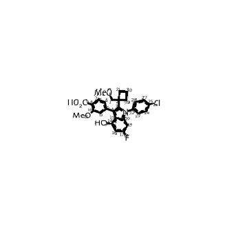 COCC1(c2c(-c3ccc(C(=O)O)c(OC)c3)c3c(O)cc(F)cc3n2-c2ccc(Cl)cc2)CCC1